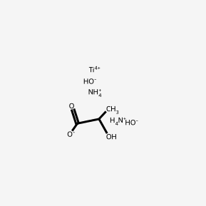 CC(O)C(=O)[O-].[NH4+].[NH4+].[OH-].[OH-].[Ti+4]